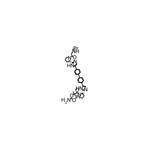 CC(C)NCC(=O)N1CCC[C@H]1c1ncc(-c2ccc(-c3ccc(-c4cnc([C@@H]5CCCN5C(=O)[C@@](C)(OC(N)=O)C(C)C)[nH]4)cc3)cc2)[nH]1